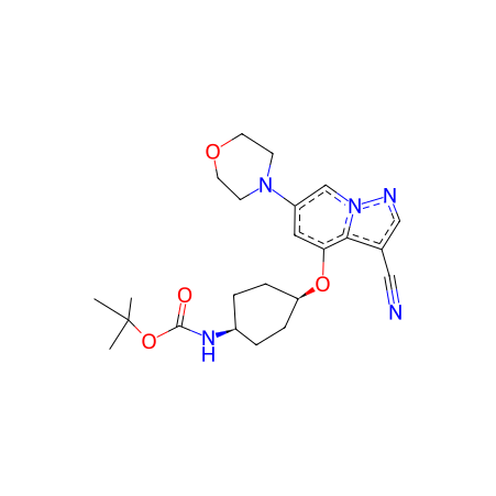 CC(C)(C)OC(=O)N[C@H]1CC[C@@H](Oc2cc(N3CCOCC3)cn3ncc(C#N)c23)CC1